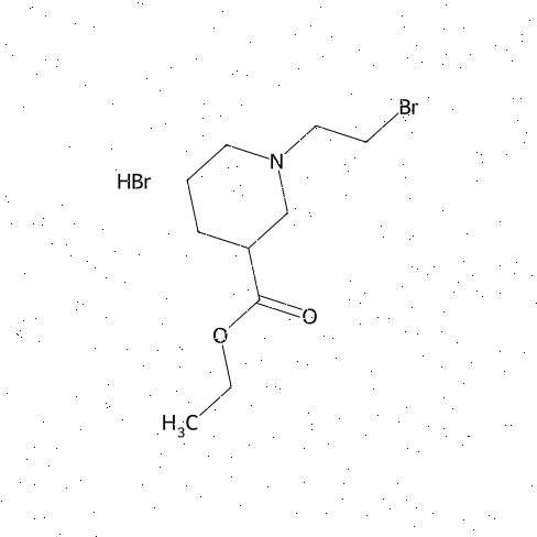 Br.CCOC(=O)C1CCCN(CCBr)C1